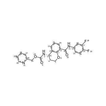 O=C(N[C@H]1CCOc2c(C(=O)Nc3ccc(F)c(F)c3)cccc21)OCc1ccncn1